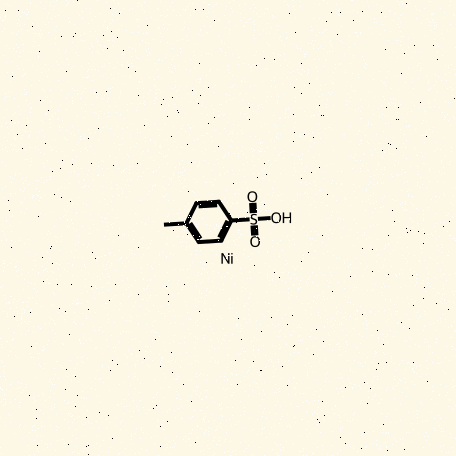 Cc1ccc(S(=O)(=O)O)cc1.[Ni]